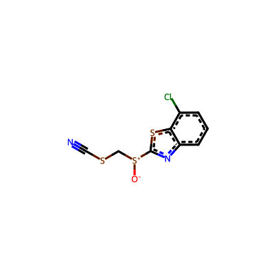 N#CSC[S+]([O-])c1nc2cccc(Cl)c2s1